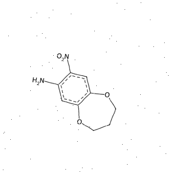 Nc1cc2c(cc1[N+](=O)[O-])OCCCO2